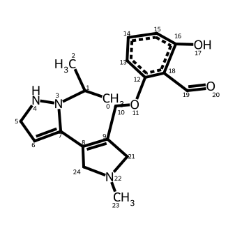 CC(C)N1NCC=C1C1=C(COc2cccc(O)c2C=O)CN(C)C1